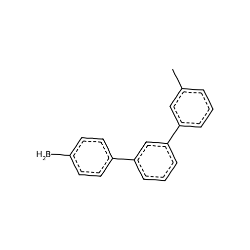 Bc1ccc(-c2cccc(-c3cccc(C)c3)c2)cc1